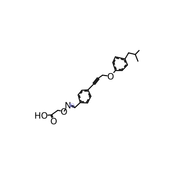 CC(C)Cc1ccc(OCC#Cc2ccc(/C=N/OCC(=O)O)cc2)cc1